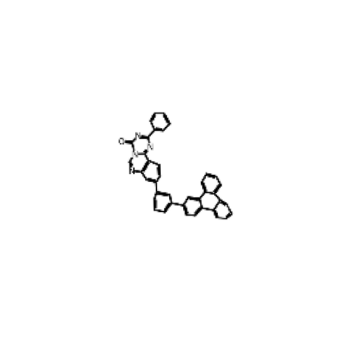 O=c1nc(-c2ccccc2)nc2c3ccc(-c4cccc(-c5ccc6c7ccccc7c7ccccc7c6c5)c4)cc3ncn12